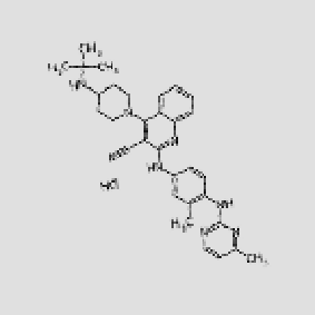 Cc1ccnc(Nc2ccc(Nc3nc4ccccc4c(N4CCC(NC(C)(C)C)CC4)c3C#N)cc2C)n1.Cl